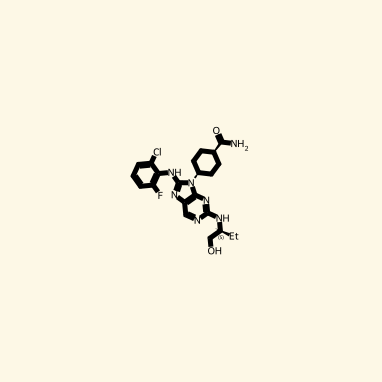 CC[C@@H](CO)Nc1ncc2nc(Nc3c(F)cccc3Cl)n([C@H]3CC[C@H](C(N)=O)CC3)c2n1